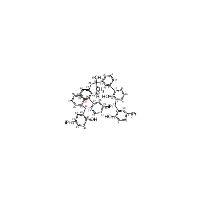 CC(C)c1ccc(O)c(Cc2cccc(-c3cccc(C(C)(C)Cc4cccc(-c5cc(C(C)C)ccc5C(c5ccccc5)c5cc(C(C)C)ccc5O)c4O)c3)c2O)c1